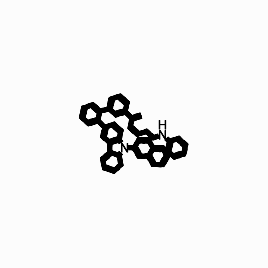 C=C(/C=C\CCNc1ccccc1)c1cccc(-c2ccccc2-c2ccc3c(c2)C2=CC=CCC2N3c2ccc3ccccc3c2)c1